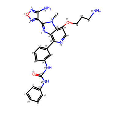 CCn1c(-c2nonc2N)nc2c(-c3cccc(NC(=O)Nc4ccccc4)c3)ncc(OCCCN)c21